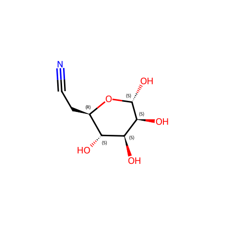 N#CC[C@H]1O[C@H](O)[C@@H](O)[C@@H](O)[C@@H]1O